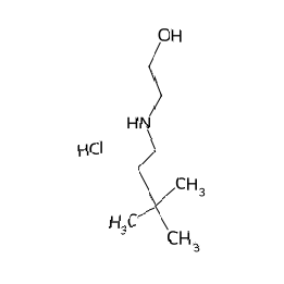 CC(C)(C)CCNCCO.Cl